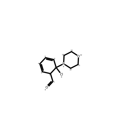 O=CC1C=CC=CC1(Cl)N1CCOCC1